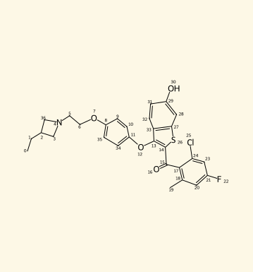 CCC1CN(CCOc2ccc(Oc3c(C(=O)c4c(C)cc(F)cc4Cl)sc4cc(O)ccc34)cc2)C1